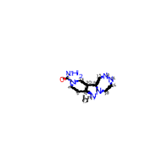 NC(=O)N1C=Cc2nn3c(c2=C1)=CN=NC=C3.[H+]